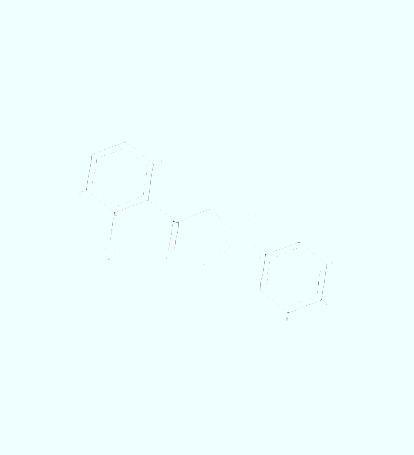 O=C(CS(=O)(=O)c1ccccc1)c1ccccc1Cl